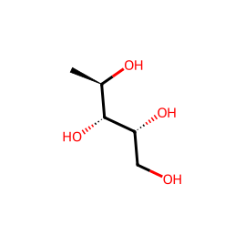 C[C@@H](O)[C@@H](O)[C@H](O)CO